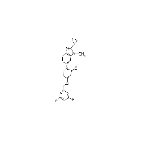 Cn1c(C2CC2)nc2ccc(-n3ccc(OCc4cc(F)cc(F)c4)cc3=O)cc21